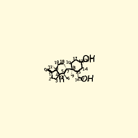 C=C1CC[C@H]2[C@H](C)[C@@H]([C@@]3(C)CC[C@H](O)C[C@@H]3CO)CC[C@]12C